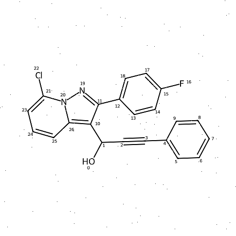 OC(C#Cc1ccccc1)c1c(-c2ccc(F)cc2)nn2c(Cl)cccc12